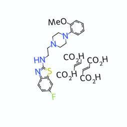 COc1ccccc1N1CCN(CCNc2nc3ccc(F)cc3s2)CC1.O=C(O)/C=C/C(=O)O.O=C(O)/C=C/C(=O)O